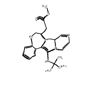 COC(=O)CC1COc2ccccc2C2=C(NC(C)(C)C)N3C=CN=CC3N21